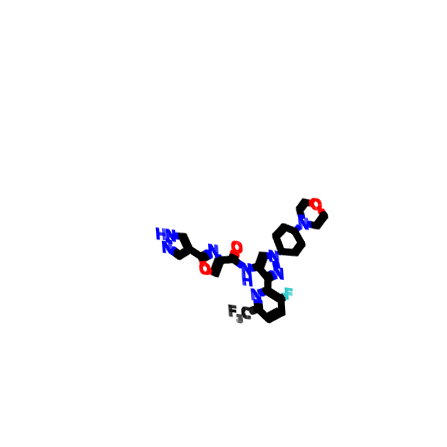 O=C(Nc1cn([C@H]2CC[C@H](N3CCOCC3)CC2)nc1-c1nc(C(F)(F)F)ccc1F)c1coc(-c2cn[nH]c2)n1